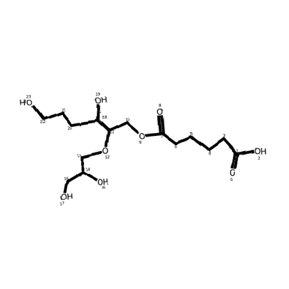 O=C(O)CCCCC(=O)OCC(OCC(O)CO)C(O)CCCO